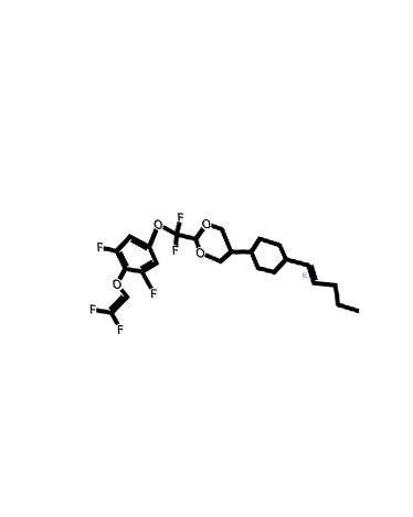 CCC/C=C/C1CCC(C2COC(C(F)(F)Oc3cc(F)c(OC=C(F)F)c(F)c3)OC2)CC1